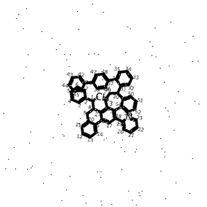 CC(c1ccccc1)C1Cc2ccccc2-c2cc(-c3ccccn3)c3c(c21)CCC(c1ccccc1-c1ccc(-c2ccccc2)cc1)c1ccccc1-3